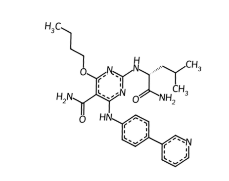 CCCCOc1nc(N[C@H](CC(C)C)C(N)=O)nc(Nc2ccc(-c3cccnc3)cc2)c1C(N)=O